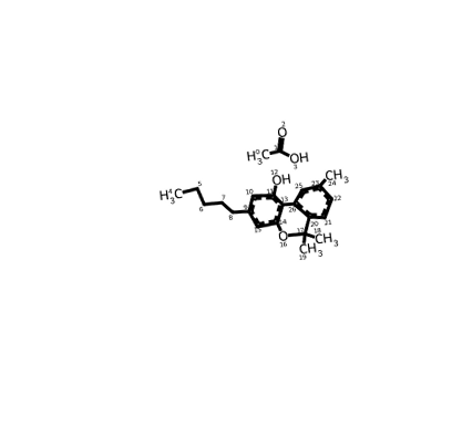 CC(=O)O.CCCCCc1cc(O)c2c(c1)OC(C)(C)c1ccc(C)cc1-2